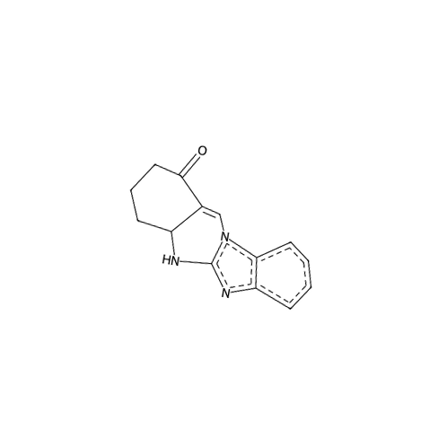 O=C1CCCC2Nc3nc4ccccc4n3C=C12